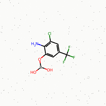 Nc1c(Cl)cc(C(F)(F)F)cc1OB(O)O